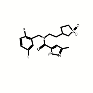 Cc1cc(C(=O)N(CCC2CCS(=O)(=O)C2)Cc2cc(F)ccc2F)[nH]n1